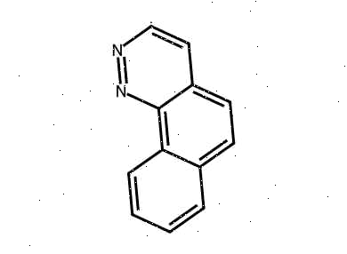 [c]1cc2ccc3ccccc3c2nn1